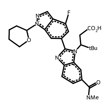 CNC(=O)c1ccc2nc(-c3cc(F)c4cnn(C5CCCCO5)c4c3)n(C(CC(=O)O)C(C)(C)C)c2c1